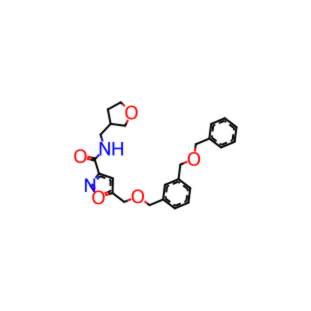 O=C(NCC1CCOC1)c1cc(COCc2cccc(COCc3ccccc3)c2)on1